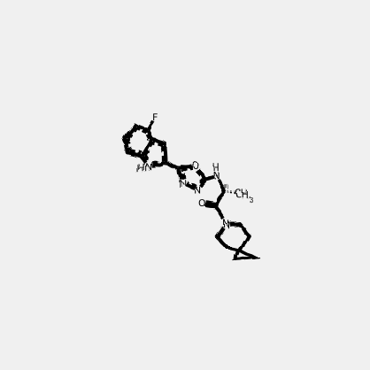 C[C@@H](Nc1nnc(-c2cc3c(F)cccc3[nH]2)o1)C(=O)N1CCC2(CC1)CC2